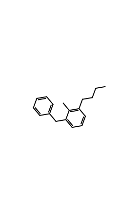 CCCCc1cccc(Cc2ccccc2)c1C